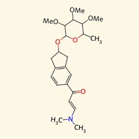 COC1C(C)OC(OC2Cc3ccc(C(=O)C=CN(C)C)cc3C2)C(OC)C1OC